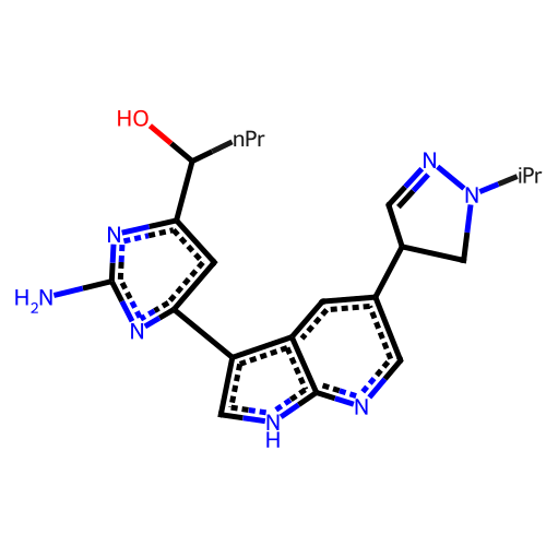 CCCC(O)c1cc(-c2c[nH]c3ncc(C4C=NN(C(C)C)C4)cc23)nc(N)n1